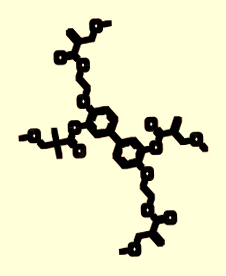 C=C(COC)C(=O)OCCOc1ccc(-c2ccc(OCCOC(=O)C(=C)COC)c(OC(=O)C(C)(C)COC)c2)cc1OC(=O)C(=C)COC